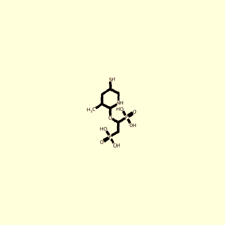 CC1CC(S)CNC1OC(CP(=O)(O)O)P(=O)(O)O